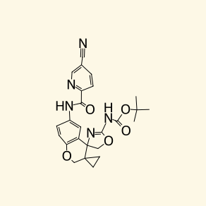 CC(C)(C)OC(=O)NC1=NC2(CO1)c1cc(NC(=O)c3ccc(C#N)cn3)ccc1OCC21CC1